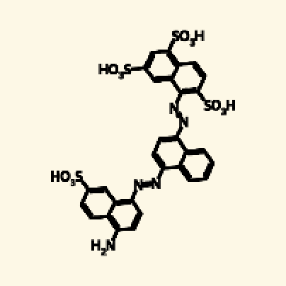 Nc1ccc(N=Nc2ccc(N=Nc3c(S(=O)(=O)O)ccc4c(S(=O)(=O)O)cc(S(=O)(=O)O)cc34)c3ccccc23)c2cc(S(=O)(=O)O)ccc12